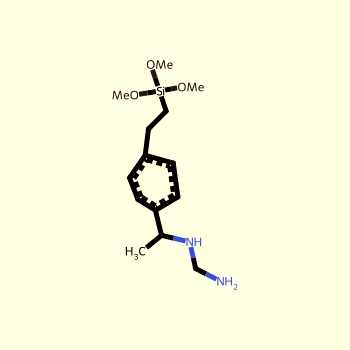 CO[Si](CCc1ccc(C(C)NCN)cc1)(OC)OC